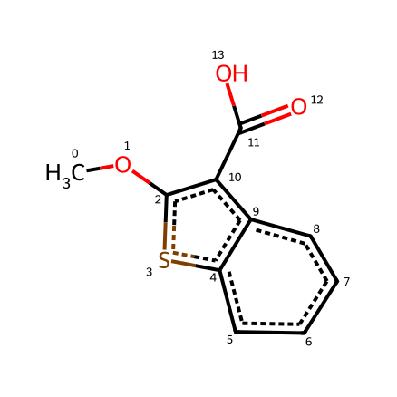 COc1sc2ccccc2c1C(=O)O